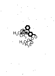 CCOC(OC)Oc1ccc(-c2ccccc2S(=O)(=O)NC(C)(C)C)cc1C=O